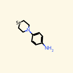 Nc1ccc(N2CC[Se]CC2)cc1